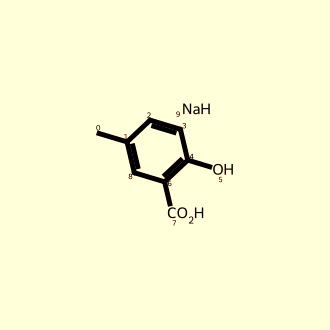 Cc1ccc(O)c(C(=O)O)c1.[NaH]